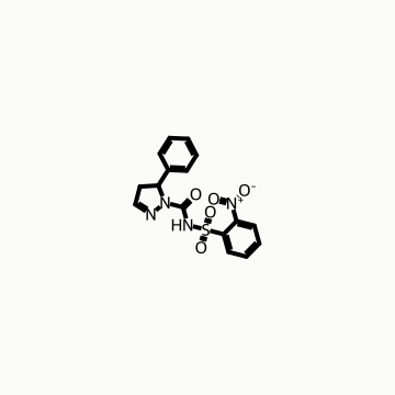 O=C(NS(=O)(=O)c1ccccc1[N+](=O)[O-])N1N=CCC1c1ccccc1